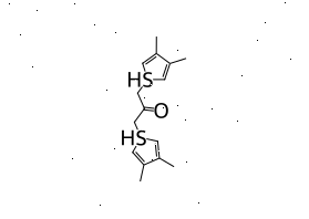 CC1=C[SH](CC(=O)C[SH]2C=C(C)C(C)=C2)C=C1C